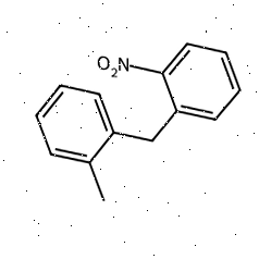 Cc1ccccc1Cc1ccccc1[N+](=O)[O-]